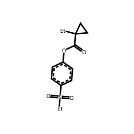 CCC1(C(=O)Oc2ccc(S(=O)(=O)CC)cc2)CC1